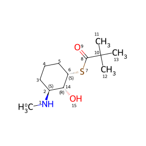 CN[C@H]1CCC[C@H](SC(=O)C(C)(C)C)[C@@H]1O